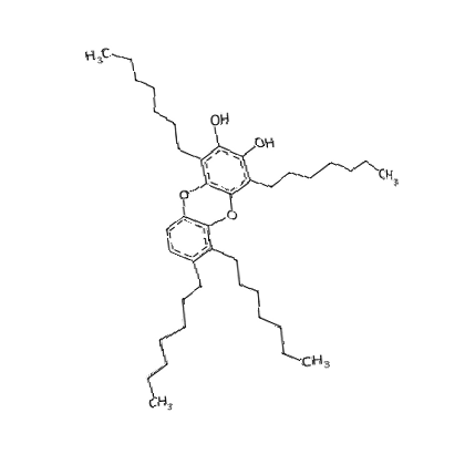 CCCCCCCc1ccc2c(c1CCCCCCC)Oc1c(CCCCCCC)c(O)c(O)c(CCCCCCC)c1O2